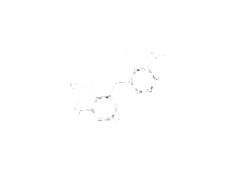 COc1c(Cc2cc(Cl)cc([N+](=O)[O-])c2O)cc(C)cc1[N+](=O)[O-]